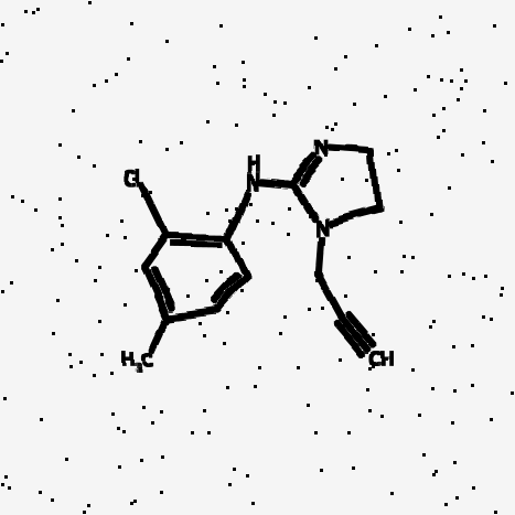 C#CCN1CCN=C1Nc1ccc(C)cc1Cl